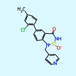 Cc1ccc(-c2ccc3c(c2)C(=O)N[S+]([O-])N3Cc2ccncc2)c(Cl)c1